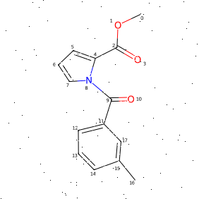 COC(=O)c1cccn1C(=O)c1cccc(C)c1